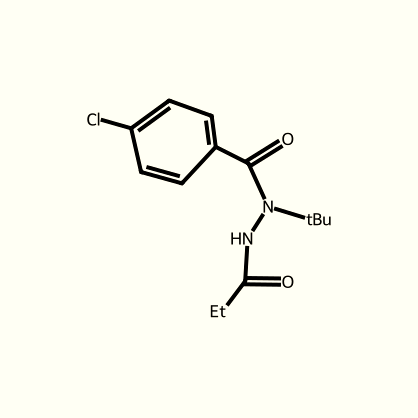 CCC(=O)NN(C(=O)c1ccc(Cl)cc1)C(C)(C)C